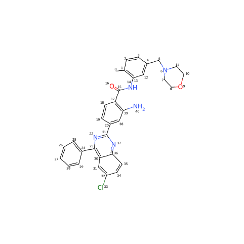 Cc1ccc(CN2CCOCC2)cc1NC(=O)c1ccc(-c2nc(-c3ccccc3)c3cc(Cl)ccc3n2)cc1N